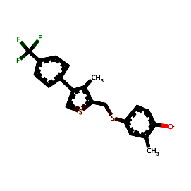 Cc1cc(SCc2scc(-c3ccc(C(F)(F)F)cc3)c2C)ccc1[O]